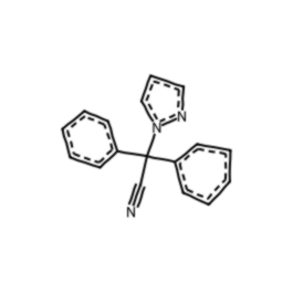 N#CC(c1ccccc1)(c1ccccc1)n1cccn1